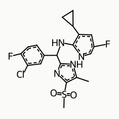 Cc1[nH]c(C(Nc2ncc(F)cc2C2CC2)c2ccc(F)c(Cl)c2)nc1S(C)(=O)=O